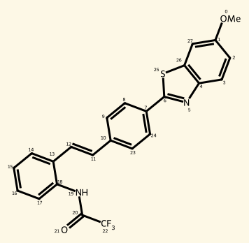 COc1ccc2nc(-c3ccc(C=Cc4ccccc4NC(=O)C(F)(F)F)cc3)sc2c1